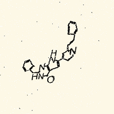 O=c1[nH]c(Cc2ccccc2)nc2[nH]c(-c3ccnc(/C=C/c4ccccc4)c3)cc12